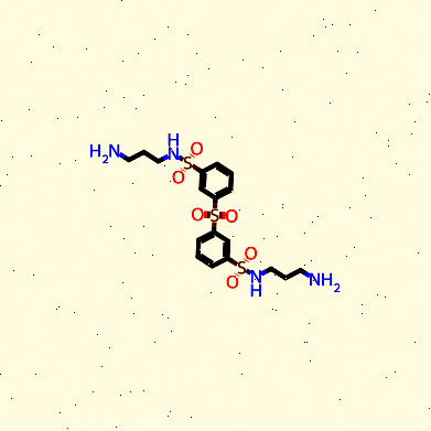 NCCCNS(=O)(=O)c1cccc(S(=O)(=O)c2cccc(S(=O)(=O)NCCCN)c2)c1